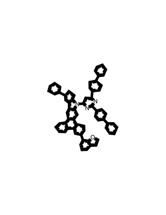 c1ccc(-c2ccc(-c3cc(-n4c5ccc(-c6ccccc6)cc5c5cc6c7ccccc7c7cc(-c8cccc9ccoc89)ccc7c6cc54)nc(-c4ccc(-c5ccccc5)cc4)n3)cc2)cc1